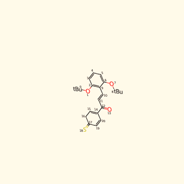 CC(C)(C)Oc1cccc(OC(C)(C)C)c1C=CC(=O)C1=CCC(=S)C=C1